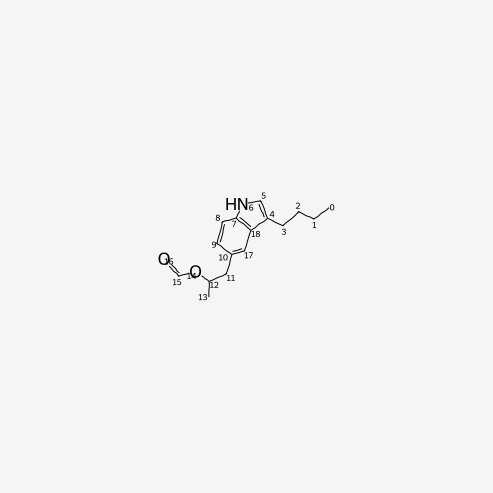 CCCCc1c[nH]c2ccc(CC(C)OC=O)cc12